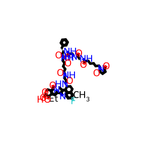 CC[C@@]1(O)C(=O)OCc2c1cc1n(c2=O)Cc2c-1nc1cc(F)c(C)c3c1c2[C@@H](NC(=O)CNC(=O)CCC(=O)CNC(=O)[C@H](Cc1ccccc1)NC(=O)CNC(=O)CNC(=O)CCCCCN1C(=O)C=CC1=O)CC3